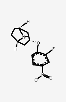 CN1[C@@H]2CC[C@H]1C[C@@H](Oc1ccc([N+](=O)[O-])cc1F)C2